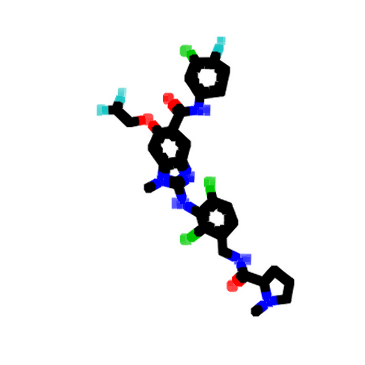 CN1CCCC1C(=O)NCc1ccc(Cl)c(Nc2nc3cc(C(=O)Nc4ccc(F)c(Cl)c4)c(OCC(F)F)cc3n2C)c1Cl